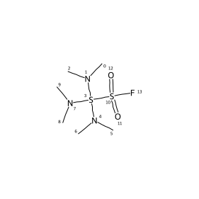 CN(C)S(N(C)C)(N(C)C)S(=O)(=O)F